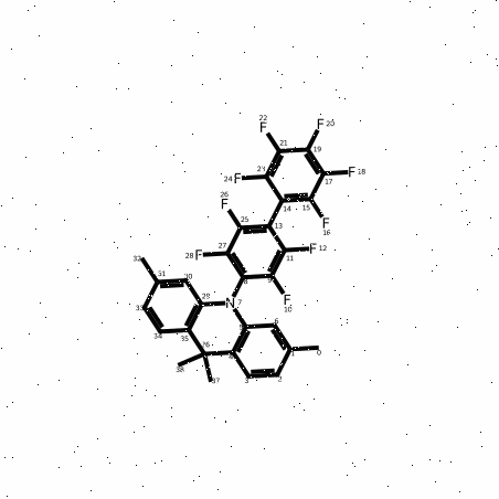 Cc1ccc2c(c1)N(c1c(F)c(F)c(-c3c(F)c(F)c(F)c(F)c3F)c(F)c1F)c1cc(C)ccc1C2(C)C